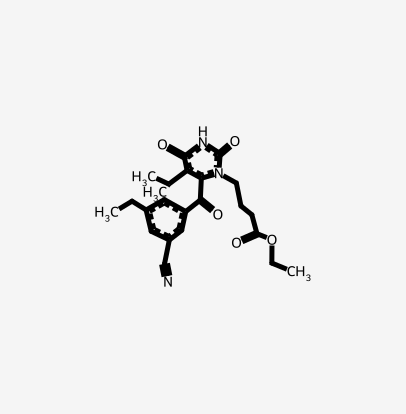 CCOC(=O)CCCn1c(C(=O)c2cc(C#N)cc(CC)c2)c(C(C)C)c(=O)[nH]c1=O